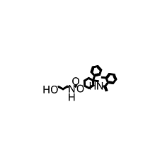 C=C(NCC1(c2ccccc2)CCC(OC(=O)NCCCO)CC1)c1ccccc1C